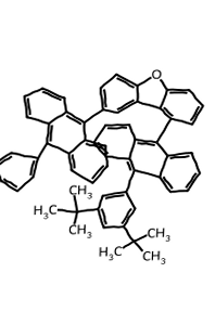 CC(C)(C)c1cc(-c2c3ccccc3c(-c3cccc4oc5ccc(-c6c7ccccc7c(-c7ccccc7)c7ccccc67)cc5c34)c3ccccc23)cc(C(C)(C)C)c1